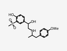 COc1ccc(CC(C)NCC(O)c2ccc(O)c(S(C)(=O)=O)c2)cc1